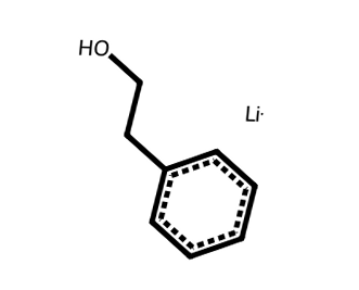 OCCc1ccccc1.[Li]